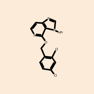 CCCn1cnc2ccnc(OCc3ccc(Cl)cc3Cl)c21